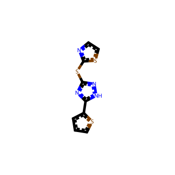 c1csc(-c2nc(Sc3nccs3)n[nH]2)c1